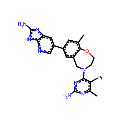 Cc1cc(-c2cnc3[nH]c(N)nc3c2)cc2c1OCCN(c1nc(N)nc(C)c1C(C)C)C2